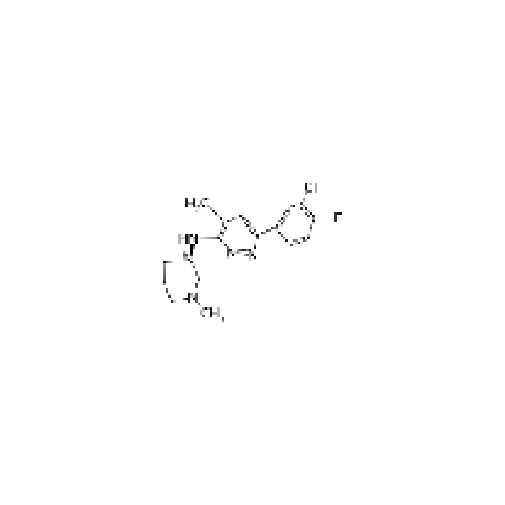 Cc1cc(-c2ccc(F)c(Cl)c2)nnc1N[C@@H]1CCCN(C)C1